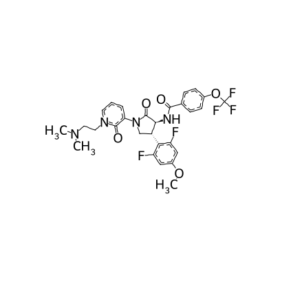 COc1cc(F)c([C@@H]2CN(c3cccn(CCN(C)C)c3=O)C(=O)[C@H]2NC(=O)c2ccc(OC(F)(F)F)cc2)c(F)c1